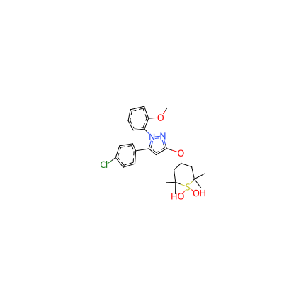 COc1ccccc1-n1nc(OC2CC(C)(C)S(O)(O)C(C)(C)C2)cc1-c1ccc(Cl)cc1